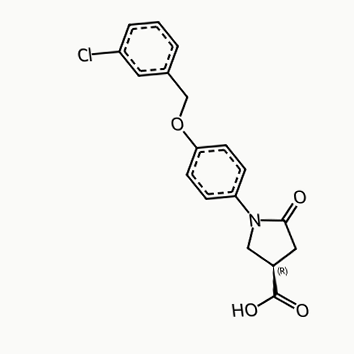 O=C(O)[C@@H]1CC(=O)N(c2ccc(OCc3cccc(Cl)c3)cc2)C1